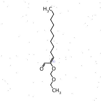 CCCCCCCCC/C=C(\C=O)OCOCC